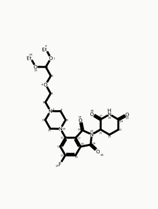 CCOC(COCCN1CCN(c2cc(F)cc3c2C(=O)N(C2CCC(=O)NC2=O)C3=O)CC1)OCC